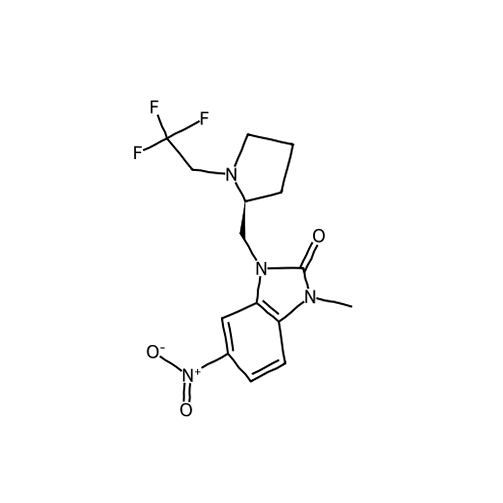 Cn1c(=O)n(C[C@@H]2CCCN2CC(F)(F)F)c2cc([N+](=O)[O-])ccc21